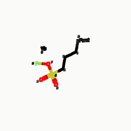 CCCCCCCCS(=O)(=O)OF.[Yb]